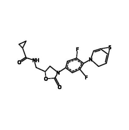 O=C(NCC1CN(c2cc(F)c(N3C=C4SC4=CC3)c(F)c2)C(=O)O1)C1CC1